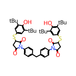 CC(C)(C)c1cc(SC2CC(=O)N(c3ccc(Cc4ccc(N5C(=O)CC(Sc6cc(C(C)(C)C)c(O)c(C(C)(C)C)c6)C5=O)cc4)cc3)C2=O)cc(C(C)(C)C)c1O